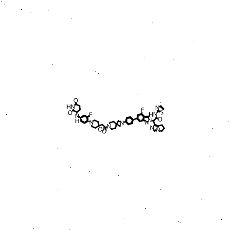 O=C1CCC(Nc2ccc(N3CCC(O)(CC(=O)N4CCC5(CC4)CN(c4ccc(-c6cc(F)c7cn(C(C(=O)Nc8nccs8)c8ncn9c8CCC9)nc7c6)cc4)C5)CC3)c(F)c2)C(=O)N1